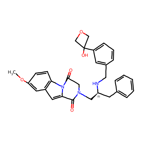 COc1ccc2c(c1)cc1n2C(=O)CN(C[C@H](Cc2ccccc2)NCc2cccc(C3(O)COC3)c2)C1=O